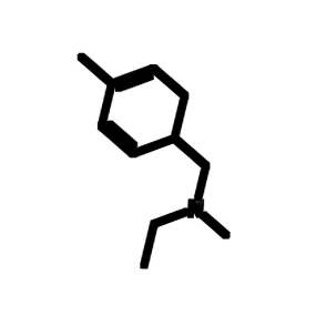 CCN(C)CC1C=CC(C)=CC1